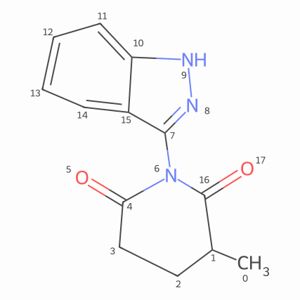 CC1CCC(=O)N(c2n[nH]c3ccccc23)C1=O